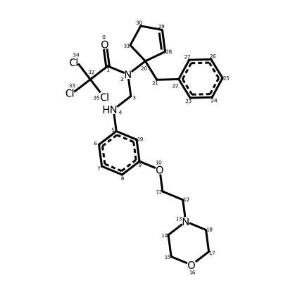 O=C(N(CNc1cccc(OCCN2CCOCC2)c1)C1(Cc2ccccc2)C=CCC1)C(Cl)(Cl)Cl